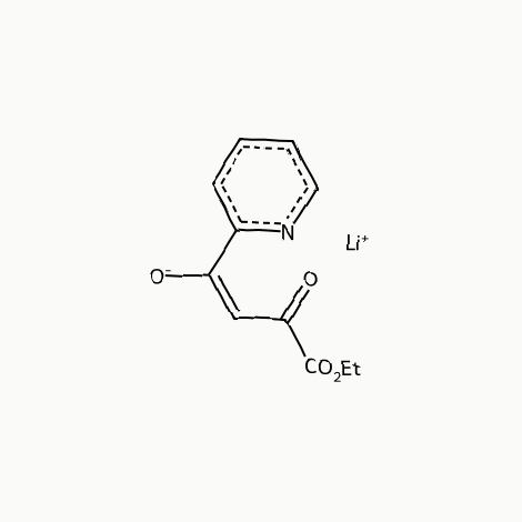 CCOC(=O)C(=O)/C=C(/[O-])c1ccccn1.[Li+]